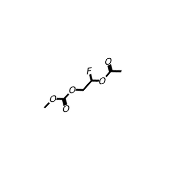 COC(=O)OCC(F)OC(C)=O